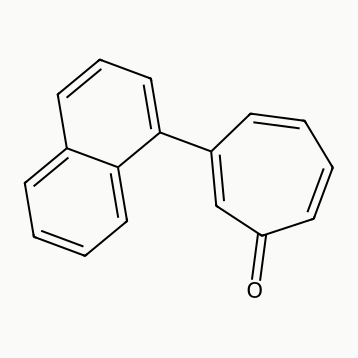 O=c1ccccc(-c2cccc3ccccc23)c1